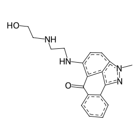 Cn1nc2c3c(c(NCCNCCO)ccc31)C(=O)c1ccccc1-2